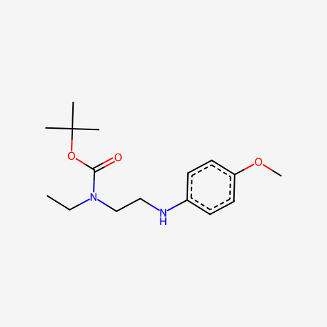 CCN(CCNc1ccc(OC)cc1)C(=O)OC(C)(C)C